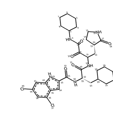 O=C(NC1CCCCC1)C(=O)C(C[C@@H]1CCNC1=O)NC(=O)[C@H](CC1CCCCC1)NC(=O)c1cc2c(Cl)cc(Cl)cc2[nH]1